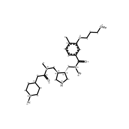 COCCCOc1cc(C(=O)N(C[C@@H]2CNC[C@H]2CN(C)C(=O)CC2CCN(C(C)=O)CC2)C(C)C)ccc1C